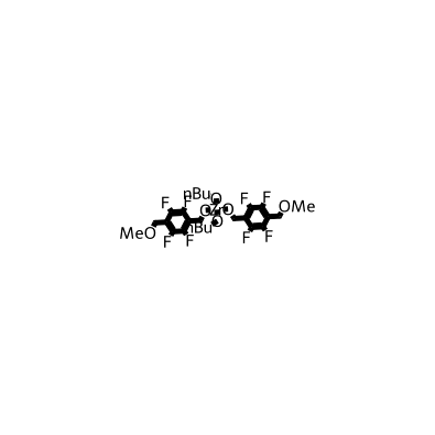 CCCC[O][Zr]([O]CCCC)([O]Cc1c(F)c(F)c(COC)c(F)c1F)[O]Cc1c(F)c(F)c(COC)c(F)c1F